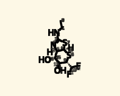 CCNC1=N[C@H]2[C@@H](S1)S[C@H](C(F)F)[C@@H](O)[C@@H]2O